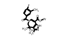 Cc1cc(C(=O)N2C=C(C(=O)OC(C)C)c3[nH]nc(C)c3C(C)(C)C2)ccc1F